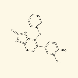 Cn1cc(-c2ccc3[nH]c(=O)[nH]c3c2Oc2ccccc2)ccc1=O